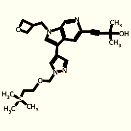 CC(C)(O)C#Cc1cc2c(-c3cnn(COCCS(C)(C)C)c3)cn(CC3COC3)c2cn1